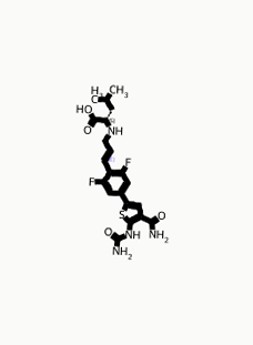 CC(C)C[C@H](NC/C=C/c1c(F)cc(-c2cc(C(N)=O)c(NC(N)=O)s2)cc1F)C(=O)O